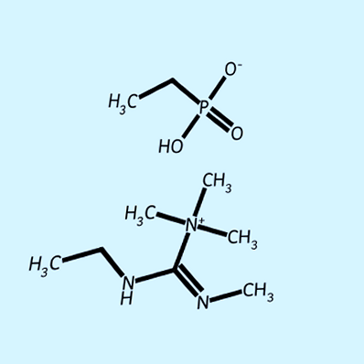 CCNC(=NC)[N+](C)(C)C.CCP(=O)([O-])O